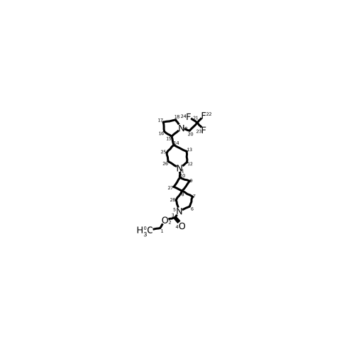 CCOC(=O)N1CCC2(CC(N3CCC(C4CCCN4CC(F)(F)F)CC3)C2)C1